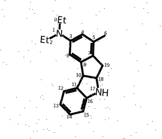 CCN(CC)c1cc(C)c2c(c1)C1c3ccccc3NC1C2